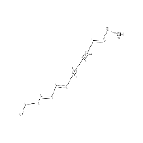 CCCC=CC=CC#CC#CC=CCO